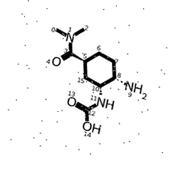 CN(C)C(=O)[C@H]1CC[C@H](N)[C@H](NC(=O)O)C1